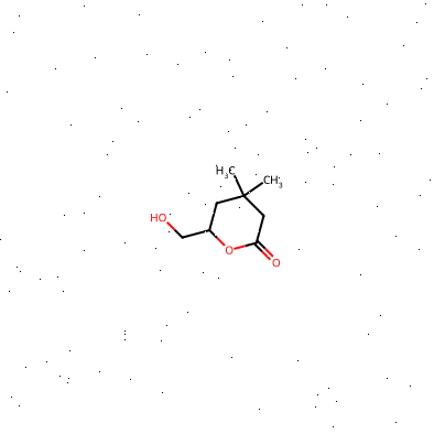 CC1(C)CC(=O)OC(CO)C1